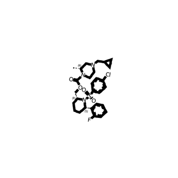 C[C@@H]1CN(CC2CC2)CCN1C(=O)OC[C@H]1CCC[C@@H](c2ccccc2F)N1S(=O)(=O)c1ccc(Cl)cc1